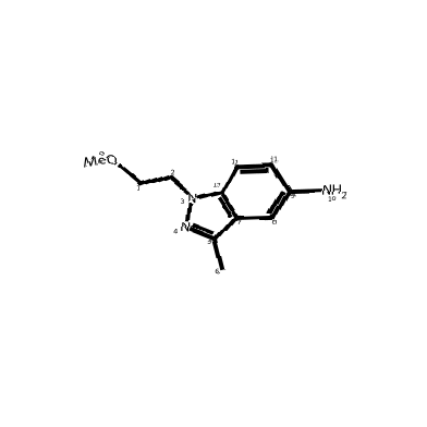 COCCn1nc(C)c2cc(N)ccc21